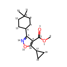 COC(=O)c1c(C2CCC(C)(C)CC2)noc1C1CC1